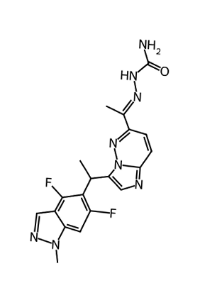 C/C(=N\NC(N)=O)c1ccc2ncc(C(C)c3c(F)cc4c(cnn4C)c3F)n2n1